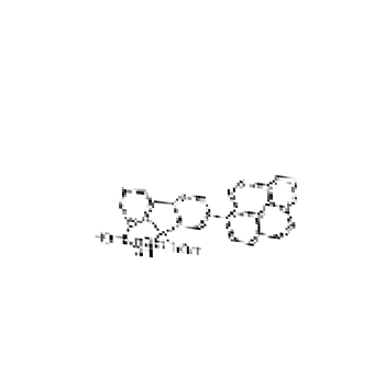 CCCCCCCCC1(CCCCCCCC)c2cc(-c3ccc4ccc5cccc6ccc3c4c56)ccc2-c2cccc(B(O)O)c21